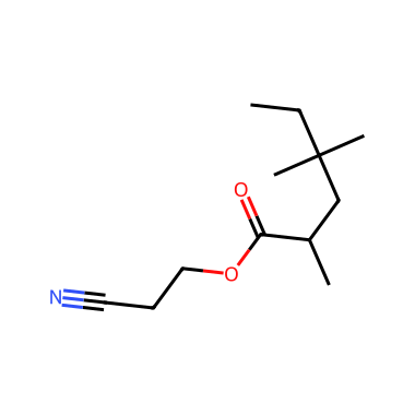 CCC(C)(C)CC(C)C(=O)OCCC#N